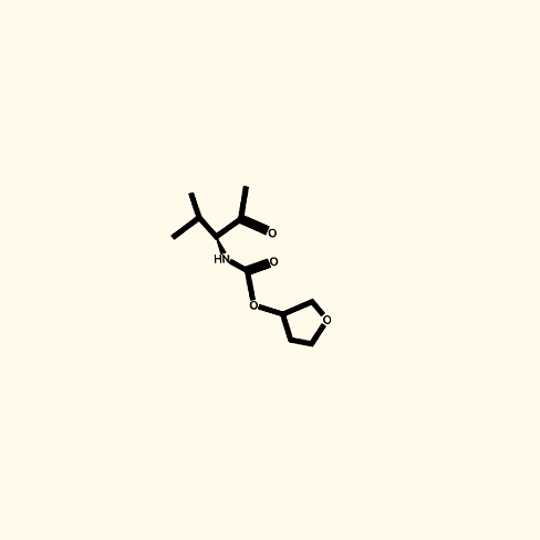 CC(=O)[C@@H](NC(=O)OC1CCOC1)C(C)C